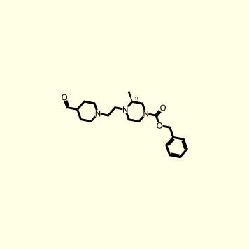 C[C@H]1CN(C(=O)OCc2ccccc2)CCN1CCN1CCC(C=O)CC1